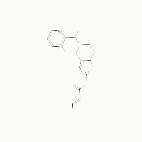 CCCCC=CC(=O)Oc1cc2c(s1)CCN(C(C(=O)O)c1ccccc1Cl)C2